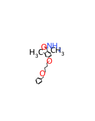 Cc1cc(OCCCCOCc2ccccc2)cc(C)c1C(N)=O